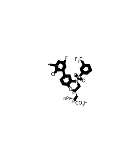 CCC[C@H](C[C@H]1CN(S(=O)(=O)c2cccc(C(F)(F)F)c2)c2cc(-c3cc(F)cc(F)c3Cl)ccc2O1)C(=O)O